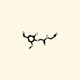 COc1cc(C=O)cc(Cl)c1OCC(=O)NCC#N